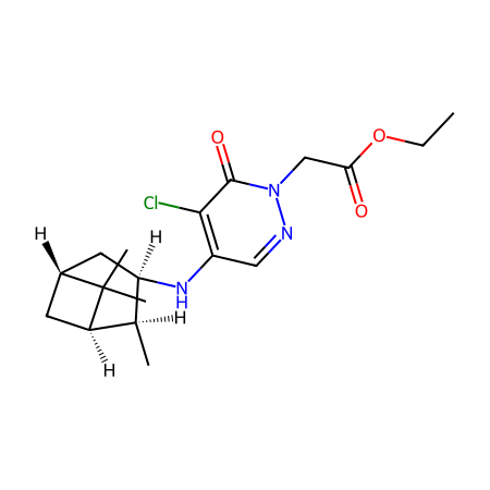 CCOC(=O)Cn1ncc(N[C@@H]2C[C@H]3C[C@H]([C@@H]2C)C3(C)C)c(Cl)c1=O